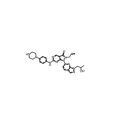 C=CCn1c(=O)c2cnc(Nc3ccc(N4CCNCC4)cc3)nc2n1-c1ccc2cnn(CC(C)O)c2n1